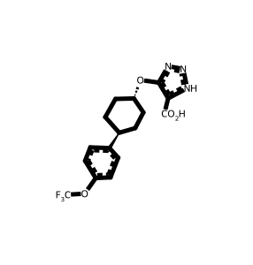 O=C(O)c1[nH]nnc1O[C@H]1CC[C@H](c2ccc(OC(F)(F)F)cc2)CC1